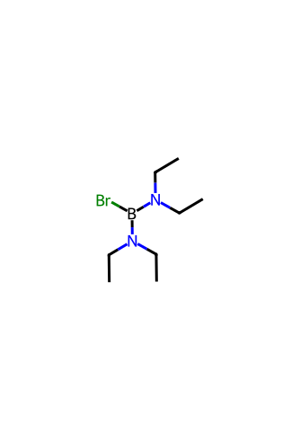 CCN(CC)B(Br)N(CC)CC